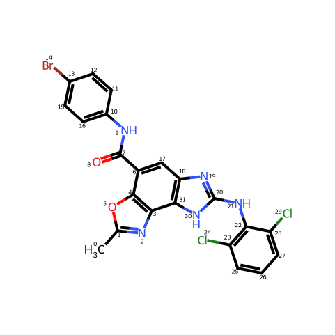 Cc1nc2c(o1)c(C(=O)Nc1ccc(Br)cc1)cc1nc(Nc3c(Cl)cccc3Cl)[nH]c12